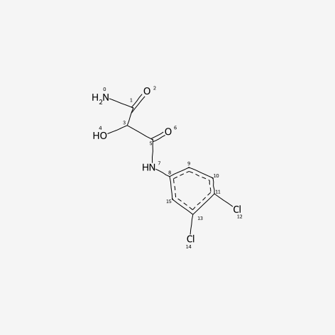 NC(=O)C(O)C(=O)Nc1ccc(Cl)c(Cl)c1